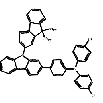 CCCCCCCCCCC1(CCCCCCCCCC)c2ccccc2-c2ccc(-n3c4ccccc4c4ccc(-c5ccc(N(c6ccc(Cl)cc6)c6ccc(Cl)cc6)cc5)cc43)cc21